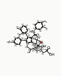 [2H]C([2H])([2H])C([2H])(c1c(C(=O)Nc2ccc(C)c(C)c2)c(-c2cccc(C)c2C)c(-c2ccc(F)cc2)n1CC(C)[C@@H](O)C[C@@H](O)CC(=O)O)C([2H])([2H])C